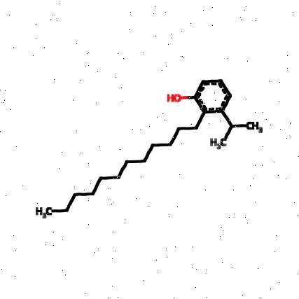 CCCCCCCCCCCCc1c(O)cccc1C(C)C